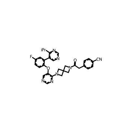 CC(C)c1ncncc1-c1cc(F)ccc1Oc1cncnc1N1CC2(CN(C(=O)Cc3ccc(C#N)cc3)C2)C1